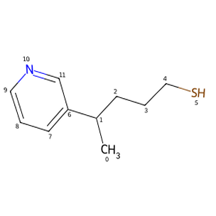 CC(CCCS)c1cccnc1